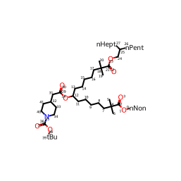 CCCCCCCCCOC(=O)C(C)(C)CCCCCC(CCCCCC(C)(C)C(=O)OCC(CCCCC)CCCCCCC)OC(=O)CC1CCN(C(=O)OC(C)(C)C)CC1